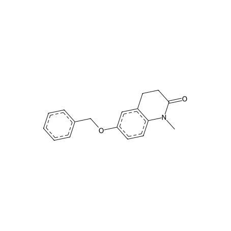 CN1C(=O)CCc2cc(OCc3ccccc3)ccc21